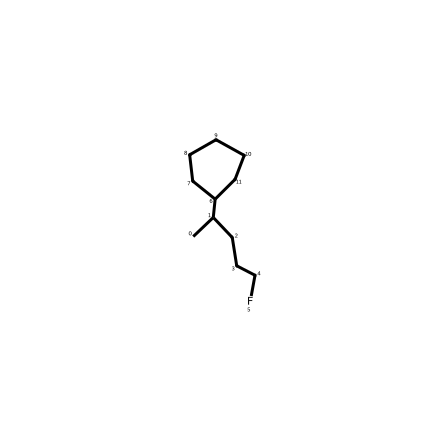 CC(CCCF)C1CCCCC1